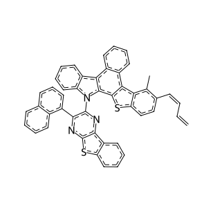 C=C/C=C\c1ccc2sc3c(c4ccccc4c4c5ccccc5n(-c5nc6c(nc5-c5cccc7ccccc57)sc5ccccc56)c34)c2c1C